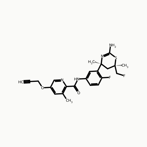 C#CCOc1cnc(C(=O)Nc2ccc(F)c([C@]3(C)C[C@](C)(CF)SC(N)=N3)c2)c(C)c1